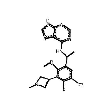 COc1c(C(C)Nc2ncnc3[nH]cnc23)cc(Cl)c(C)c1C1CN(C)C1